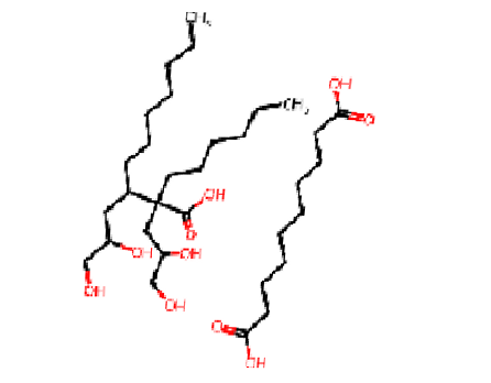 CCCCCCCC(CC(O)CO)C(CCCCCC)(CC(O)CO)C(=O)O.O=C(O)CCCCCCCCC(=O)O